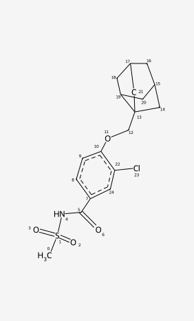 CS(=O)(=O)NC(=O)c1ccc(OCC23CC4CC(CC2C4)C3)c(Cl)c1